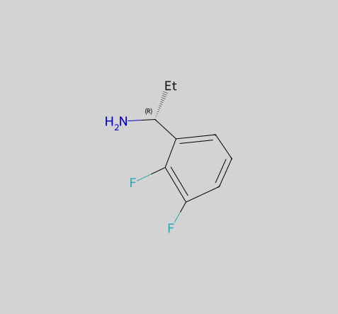 CC[C@@H](N)c1cccc(F)c1F